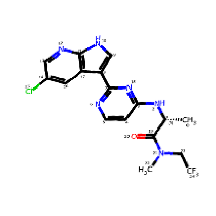 C[C@@H](Nc1ccnc(-c2c[nH]c3ncc(Cl)cc23)n1)C(=O)N(C)CC(F)(F)F